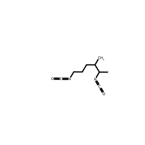 CC(CCCN=C=O)C(I)N=C=O